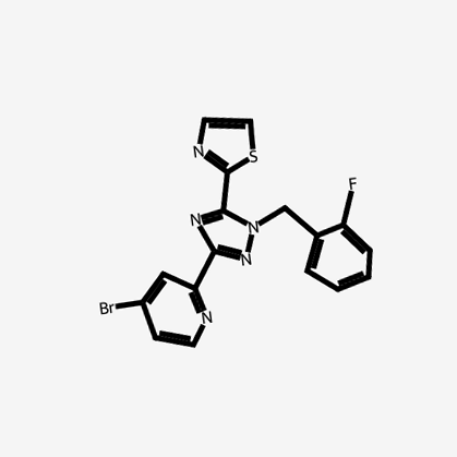 Fc1ccccc1Cn1nc(-c2cc(Br)ccn2)nc1-c1nccs1